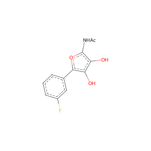 CC(=O)Nc1oc(-c2cccc(F)c2)c(O)c1O